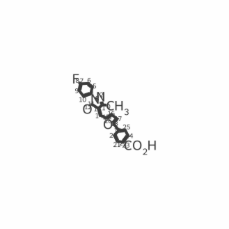 CC1=NN(c2ccc(F)cc2)C(=O)/C1=C/c1ccc(-c2ccc(C(=O)O)cc2)o1